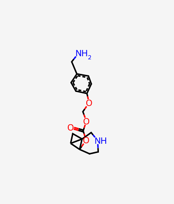 NCc1ccc(OCOC(=O)OC23CCNCC24CC43)cc1